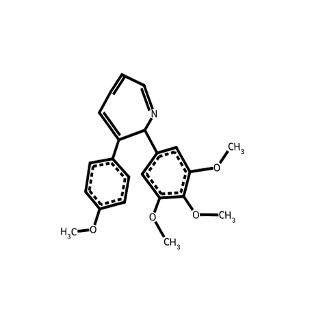 COc1ccc(C2=CC=CC=NC2c2cc(OC)c(OC)c(OC)c2)cc1